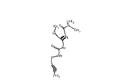 CC#CSNC(=O)NC(=NC(=O)N(C)C)OC